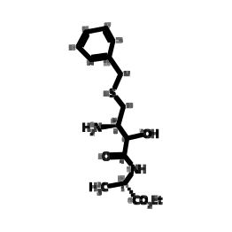 CCOC(=O)[C@H](C)NC(=O)C(O)[C@@H](N)CSCc1ccccc1